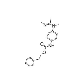 CN=C(C)N(C)c1ccc(NC(=O)OCCc2ccccc2)cc1